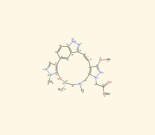 CCN1Cc2c(c(OC(C)C)nn2CC(=O)OC)/C=C\c2n[nH]c3ccc(cc23)-c2cnn(C)c2O[C@@H](C)C1